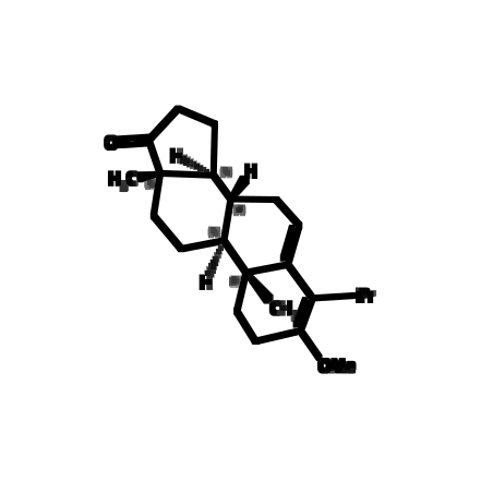 COC1=C(C(C)C)C2=CC[C@@H]3[C@H](CC[C@]4(C)C(=O)CC[C@@H]34)[C@@]2(C)CC1